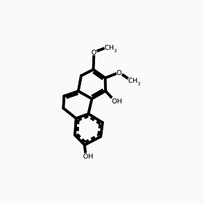 COC1=C(OC)C(O)=C2C(=CCc3cc(O)ccc32)C1